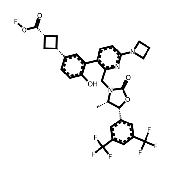 C[C@H]1[C@@H](c2cc(C(F)(F)F)cc(C(F)(F)F)c2)OC(=O)N1Cc1nc(N2CCC2)ccc1-c1cc([C@H]2C[C@@H](C(=O)OF)C2)ccc1O